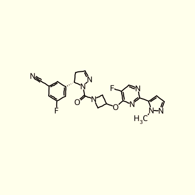 Cn1nccc1-c1ncc(F)c(OC2CN(C(=O)N3N=CC[C@H]3c3cc(F)cc(C#N)c3)C2)n1